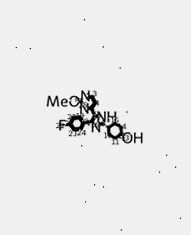 COc1nccc(-c2[nH]c([C@H]3CC[C@H](O)CC3)nc2-c2ccc(F)cc2)n1